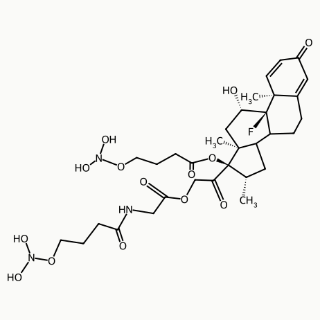 C[C@H]1CC2C3CCC4=CC(=O)C=C[C@]4(C)[C@@]3(F)[C@@H](O)C[C@]2(C)[C@@]1(OC(=O)CCCON(O)O)C(=O)COC(=O)CNC(=O)CCCON(O)O